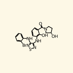 O=C(c1cccc(Nc2nsnc2Nc2ccccc2Br)c1O)N1CC[C@@H](O)C1